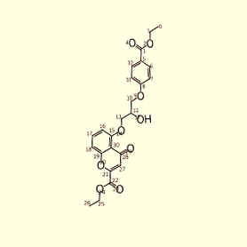 CCOC(=O)c1ccc(OCC(O)COc2cccc3oc(C(=O)OCC)cc(=O)c23)cc1